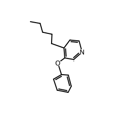 CCCCCc1ccn[c]c1Oc1ccccc1